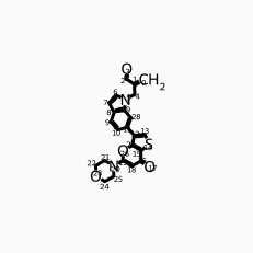 C=C(C=O)Cn1ccc2ccc(-c3csc4c(=O)cc(N5CCOCC5)oc34)cc21